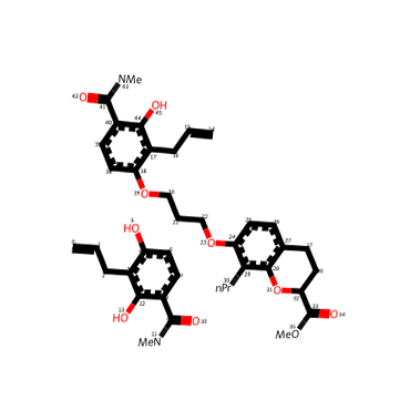 C=CCc1c(O)ccc(C(=O)NC)c1O.C=CCc1c(OCCCOc2ccc3c(c2CCC)OC(C(=O)OC)CC3)ccc(C(=O)NC)c1O